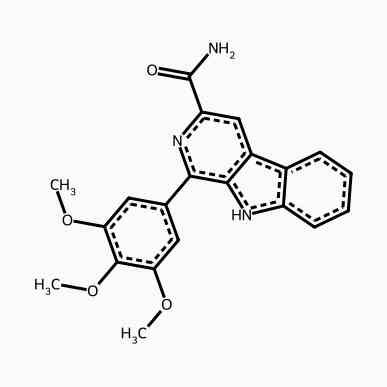 COc1cc(-c2nc(C(N)=O)cc3c2[nH]c2ccccc23)cc(OC)c1OC